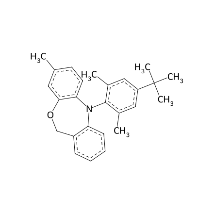 Cc1ccc2c(c1)OCc1ccccc1N2c1c(C)cc(C(C)(C)C)cc1C